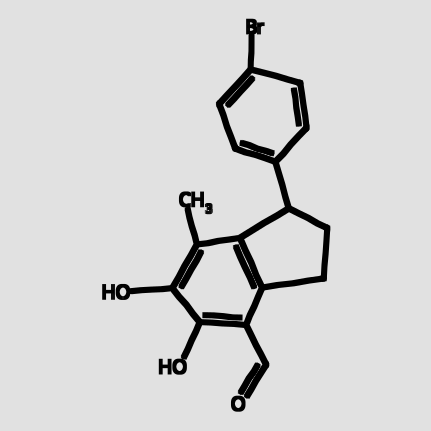 Cc1c(O)c(O)c(C=O)c2c1C(c1ccc(Br)cc1)CC2